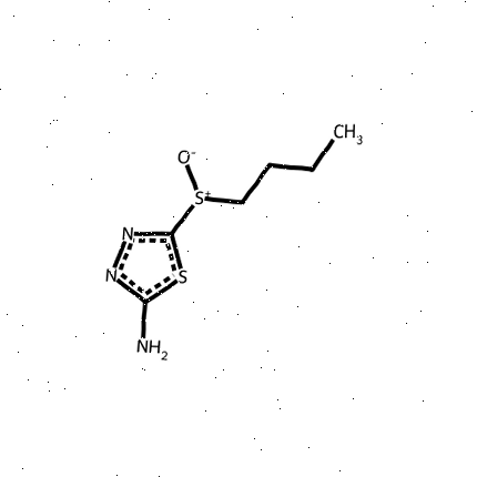 CCCC[S+]([O-])c1nnc(N)s1